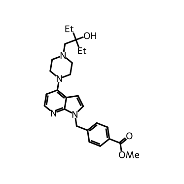 CCC(O)(CC)CN1CCN(c2ccnc3c2ccn3Cc2ccc(C(=O)OC)cc2)CC1